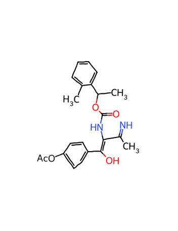 CC(=N)/C(NC(=O)OC(C)c1ccccc1C)=C(\O)c1ccc(OC(C)=O)cc1